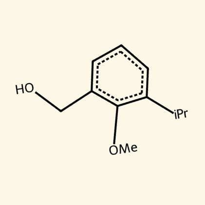 COc1c(CO)cccc1C(C)C